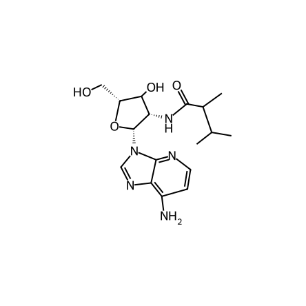 CC(C)C(C)C(=O)N[C@H]1C(O)[C@@H](CO)O[C@H]1n1cnc2c(N)ccnc21